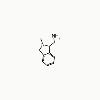 CN1Cc2ccccc2C1CN